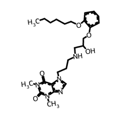 CCCCCCOc1ccccc1OCC(O)CNCCCn1cnc2c1c(=O)n(C)c(=O)n2C